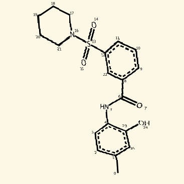 Cc1ccc(NC(=O)c2cccc(S(=O)(=O)N3CCCCC3)c2)c(O)c1